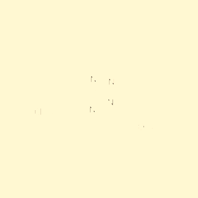 CCC1N=C2C(=CN(Cc3ccc(Cl)cc3)CN2CCCOC(C)(C)C)N1C